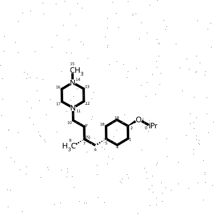 CC(C)O[C@H]1CC[C@H](C[C@H](C)CCN2CCN(C)CC2)CC1